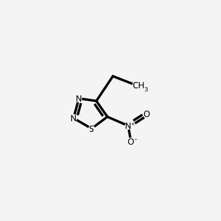 CCc1nnsc1[N+](=O)[O-]